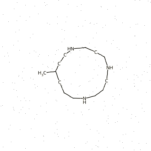 CC1CCCNCCCNCCCNCC1